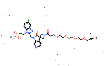 C#CCOCCOCCOCCOCCC(=O)N1CC2(C1)C(=O)N(Cc1nc3cc(Cl)ccc3n1CCS(C)(=O)=O)c1cnccc12